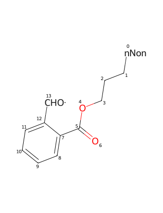 CCCCCCCCCCCCOC(=O)c1ccccc1[C]=O